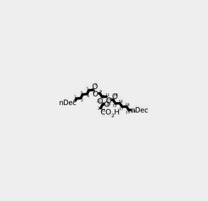 CCCCCCCCCCCCCCCC(=O)OCC(COC(=O)CCCCCCCCCCCCCCC)OC(=O)CC(=O)O